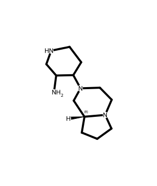 NC1CNCCC1N1CCN2CCC[C@@H]2C1